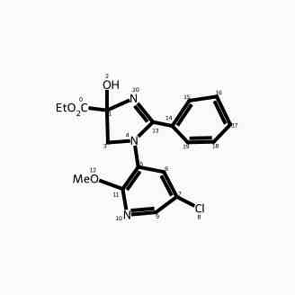 CCOC(=O)C1(O)CN(c2cc(Cl)cnc2OC)C(c2ccccc2)=N1